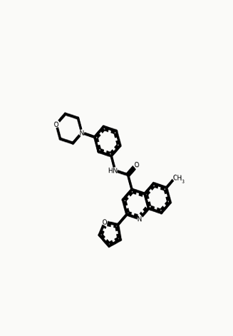 Cc1ccc2nc(-c3ccco3)cc(C(=O)Nc3cccc(N4CCOCC4)c3)c2c1